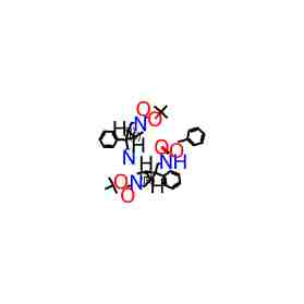 CC(C)(C)OC(=O)N1C[C@@H]2[C@H](C1)C2(C#N)c1ccccc1.CC(C)(C)OC(=O)N1C[C@@H]2[C@H](C1)C2(CNC(=O)OCc1ccccc1)c1ccccc1